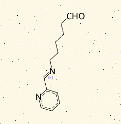 O=CCCCCC/N=C/c1ccccn1